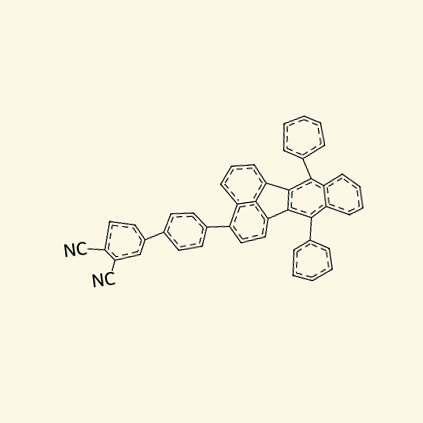 N#Cc1ccc(-c2ccc(-c3ccc4c5c(cccc35)-c3c-4c(-c4ccccc4)c4ccccc4c3-c3ccccc3)cc2)cc1C#N